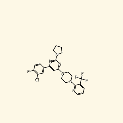 Fc1ccc(-c2cc(N3CCN(c4ncccc4C(F)(F)F)CC3)nc(N3CCCC3)n2)cc1Cl